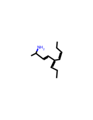 CC\C=C/C(/C=C/C(C)N)=C\CC